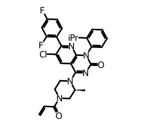 C=CC(=O)N1CCN(c2nc(=O)n(-c3ccccc3C(C)C)c3nc(-c4ccc(F)cc4F)c(Cl)cc23)[C@@H](C)C1